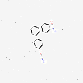 N=C=O.N=C=O.c1ccccc1.c1ccccc1.c1ccccc1